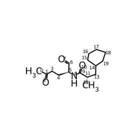 CC(=O)CC[C@@H](C=O)NC(=O)[C@@H](C)CC1CCCCC1